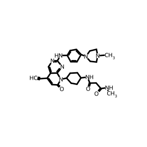 C#Cc1cc(=O)n(C2CCC(NC(=O)CC(=O)NC)CC2)c2nc(Nc3ccc(N4CCN(C)CC4)cc3)ncc12